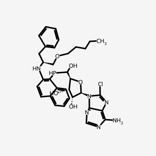 CCCCCOC[C@H](Cc1ccccc1)Nc1ccc2ccccc2c1PC(O)[C@H]1O[C@@H](n2c(Cl)nc3c(N)ncnc32)[C@H](O)[C@@H]1O